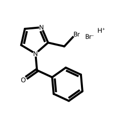 O=C(c1ccccc1)n1ccnc1CBr.[Br-].[H+]